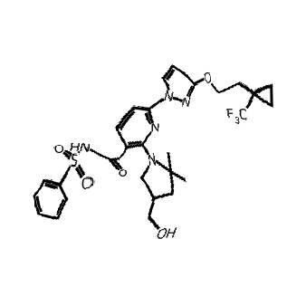 CC1(C)CC(CO)CN1c1nc(-n2ccc(OCCC3(C(F)(F)F)CC3)n2)ccc1C(=O)NS(=O)(=O)c1ccccc1